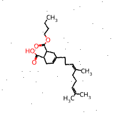 CCCCOC(=O)C1CC(CCC=C(C)CCC=C(C)C)=CCC1C(=O)O